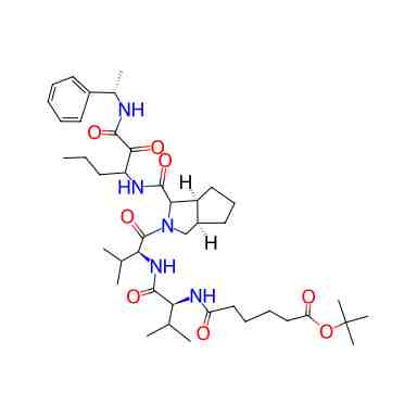 CCCC(NC(=O)C1[C@H]2CCC[C@H]2CN1C(=O)[C@@H](NC(=O)[C@@H](NC(=O)CCCCC(=O)OC(C)(C)C)C(C)C)C(C)C)C(=O)C(=O)N[C@@H](C)c1ccccc1